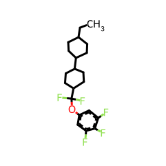 CCC1CCC(C2CCC(C(F)(F)Oc3cc(F)c(F)c(F)c3)CC2)CC1